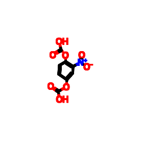 O=C(O)Oc1ccc(OC(=O)O)c([N+](=O)[O-])c1